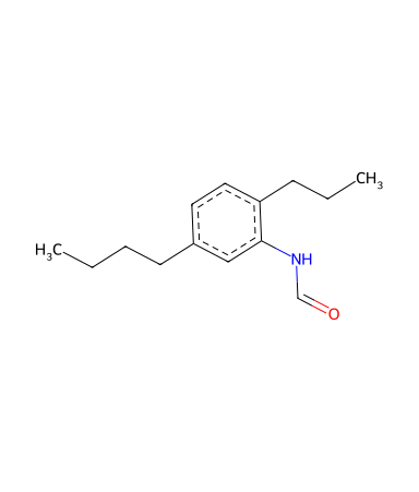 CCCCc1ccc(CCC)c(NC=O)c1